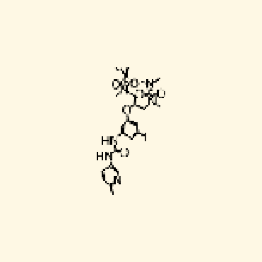 Cc1ccc(NC(=O)Nc2cc(F)cc(OC(CN(C)S(=O)(=O)N(C)C)CN(C)S(=O)(=O)N(C)C)c2)cn1